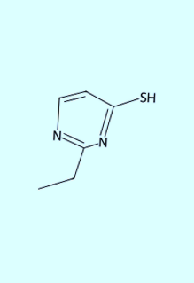 CCc1nccc(S)n1